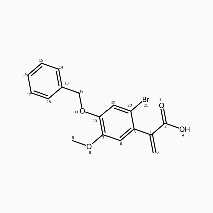 C=C(C(=O)O)c1cc(OC)c(OCc2ccccc2)cc1Br